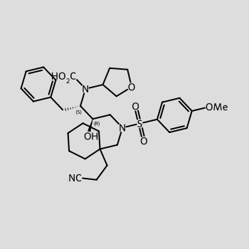 COc1ccc(S(=O)(=O)N(C[C@@H](O)[C@H](Cc2ccccc2)N(C(=O)O)C2CCOC2)CC2(CCC#N)CCCCC2)cc1